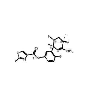 Cc1nc(C(=O)Nc2ccc(F)c([C@@]3(C)N=C(N)[C@](C)(F)C[C@@H]3F)c2)co1